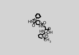 CC(=O)N1CCCCC1C(=O)NC(CNC(=O)N1CCC2(CC1)C(=O)NCN2c1ccccc1)C(=O)O